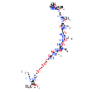 CCCCCCNc1nc(NC2CCN(CCOCCOCCOCCOCCOCCNC(=O)CCNC(=O)c3nc(NC(=O)c4cc(NC(=O)CCNC(=O)c5nc(NC(=O)CCCNC(=O)c6cc(NC(=O)c7nc(NC(=O)CCNC(=O)c8cc(NC(=O)c9nccn9C)cn8C)cn7C)cn6C)cn5C)cn4C)cn3C)CC2)c2cc(OC)c(OC)cc2n1